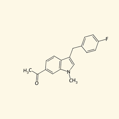 CC(=O)c1ccc2c(Cc3ccc(F)cc3)cn(C)c2c1